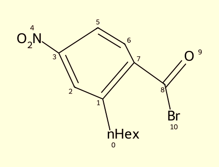 CCCCCCc1cc([N+](=O)[O-])ccc1C(=O)Br